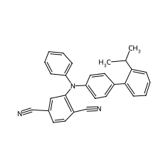 CC(C)c1ccccc1-c1ccc(N(c2ccccc2)c2cc(C#N)ccc2C#N)cc1